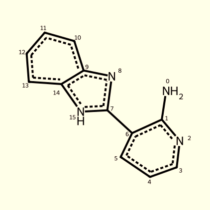 Nc1ncccc1-c1nc2ccccc2[nH]1